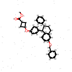 COC(=O)C1CC(Oc2ccc(C3c4ccc(OCc5ccccc5)cc4CC[C@@H]3c3ccccc3)cc2)C1